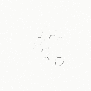 CCC(C)C(NC(=O)C1CCCN1C(=O)C(N)C(C)C)C(=O)NC(Cc1ccccc1)C(=O)O